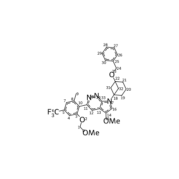 COCOc1cc(C(F)(F)F)cc(C)c1-c1cc2c(OC)cn(C34CCCC(OCc5ccccc5)(C3)C4)c2nn1